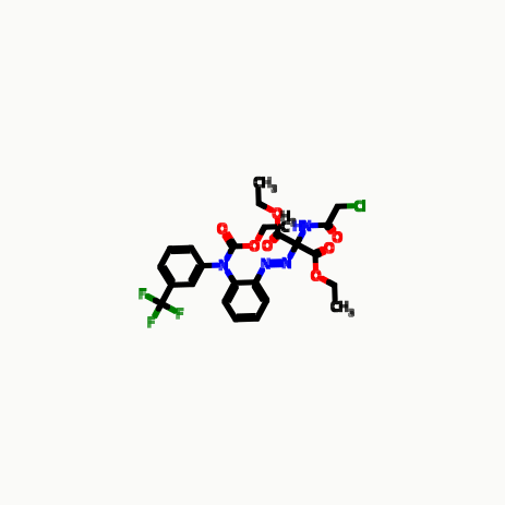 CCOC(=O)N(c1cccc(C(F)(F)F)c1)c1ccccc1/N=N/C(NC(=O)CCl)(C(=O)OCC)C(=O)OCC